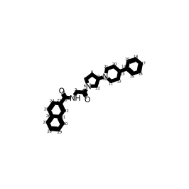 O=C(NCC(=O)N1CCC(N2CCC(c3ccccc3)CC2)C1)c1ccc2ccccc2c1